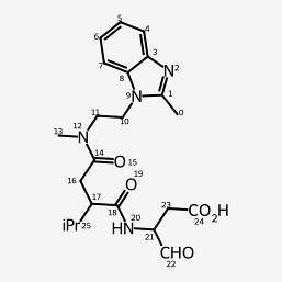 Cc1nc2ccccc2n1CCN(C)C(=O)CC(C(=O)NC(C=O)CC(=O)O)C(C)C